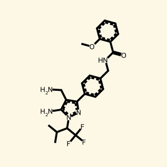 COc1ccccc1C(=O)NCc1ccc(-c2nn(C(C(C)C)C(F)(F)F)c(N)c2CN)cc1